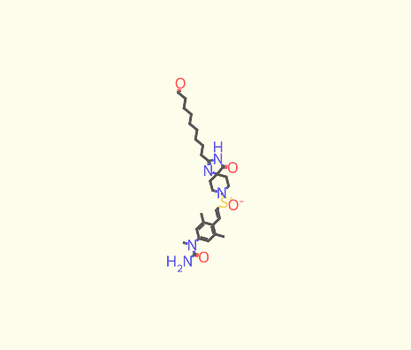 Cc1cc(N(C)C(N)=O)cc(C)c1/C=C/[S+]([O-])N1CCC2(CC1)N=C(CCCCCCCCC=O)NC2=O